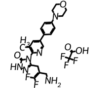 Cc1cc(-c2ccc(N3CCOCC3)cc2)cnc1-n1c(CC(CN)=C(F)F)n[nH]c1=O.O=C(O)C(F)(F)F